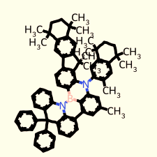 Cc1cc2c3c(c1)N(c1cc4c(cc1C)C(C)(C)CCC4(C)C)c1c(ccc4c1C(C)(C)c1cc5c(cc1-4)C(C)(C)CCC5(C)C)B3N1c3ccccc3C(c3ccccc3)(c3ccccc3)c3cccc-2c31